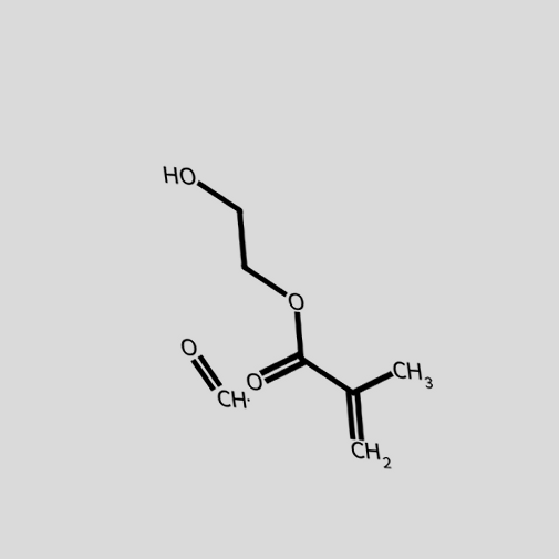 C=C(C)C(=O)OCCO.[CH]=O